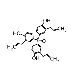 C=CCc1cc(P(=O)(c2ccc(O)c(CC=C)c2)c2ccc(O)c(CC=C)c2)ccc1O